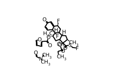 CCC(=O)O[C@]1(C(=O)SCF)[C@H](C)C[C@H]2[C@@H]3C[C@H](F)C4=CC(=O)C=C[C@]4(C)[C@@]3(F)[C@@H](OC(=O)c3ccco3)C[C@@]21C.CN(C)C=O